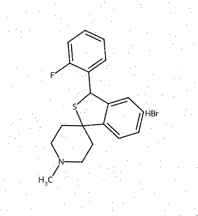 Br.CN1CCC2(CC1)SC(c1ccccc1F)c1ccccc12